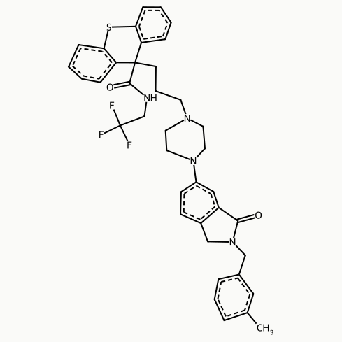 Cc1cccc(CN2Cc3ccc(N4CCN(CCCC5(C(=O)NCC(F)(F)F)c6ccccc6Sc6ccccc65)CC4)cc3C2=O)c1